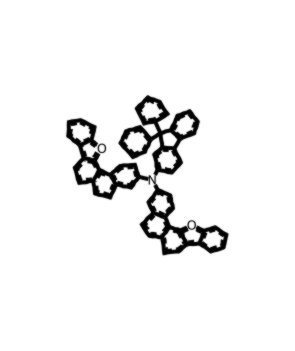 c1ccc(C2(c3ccccc3)c3ccccc3-c3ccc(N(c4ccc5c(ccc6ccc7c8ccccc8oc7c65)c4)c4ccc5c(ccc6ccc7c8ccccc8oc7c65)c4)cc32)cc1